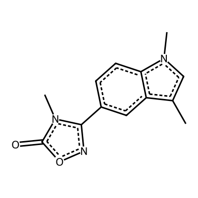 Cc1cn(C)c2ccc(-c3noc(=O)n3C)cc12